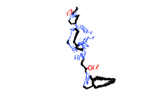 CC(=O)N1CCC(Nc2ncnc3c(NCCC(O)CN4CCc5ccccc5C4)n[nH]c23)CC1